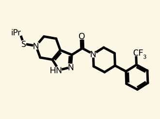 CC(C)SN1CCc2c(C(=O)N3CCC(c4ccccc4C(F)(F)F)CC3)n[nH]c2C1